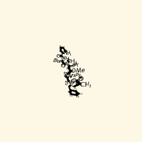 CCCOC(=O)[C@@H](C)C[C@H](Cc1ccccc1)NC(=O)c1csc([C@@H](C[C@H](C(C)C)N(C)C(=O)[C@@H](NC(=O)[C@H]2CCCCN2)[C@@H](C)CC)OC)n1